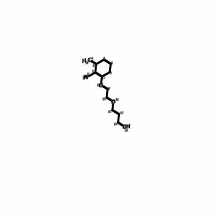 CC(C)C1C(C)CCCC1OCCOCCCO